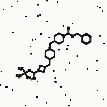 CC(C)(C)OC(=O)N1CC(CC2CCN(CC3CCN(C(=O)OCc4ccccc4)CC3)CC2)C1